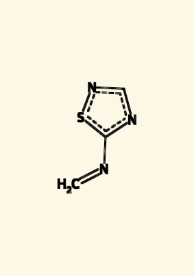 C=Nc1ncns1